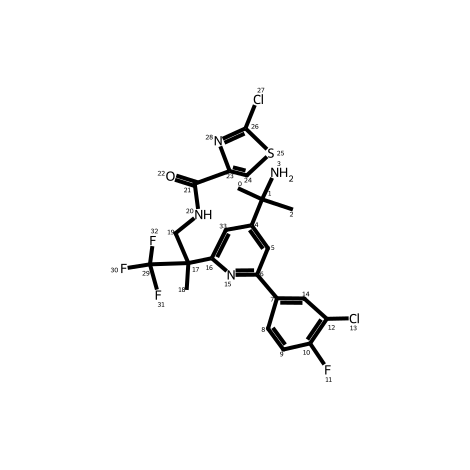 CC(C)(N)c1cc(-c2ccc(F)c(Cl)c2)nc(C(C)(CNC(=O)c2csc(Cl)n2)C(F)(F)F)c1